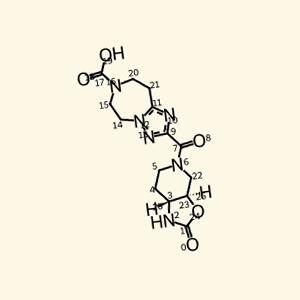 O=C1N[C@@H]2CCN(C(=O)c3nc4n(n3)CCN(C(=O)O)CC4)C[C@H]2O1